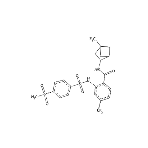 CS(=O)(=O)c1ccc(S(=O)(=O)Nc2cc(C(F)(F)F)ccc2C(=O)NC2CC3(C(F)(F)F)CC2C3)cc1